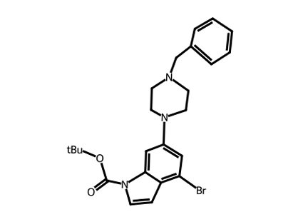 CC(C)(C)OC(=O)n1ccc2c(Br)cc(N3CCN(Cc4ccccc4)CC3)cc21